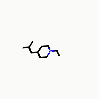 CCN1CCC(CC(C)C)CC1